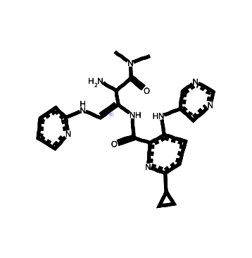 CN(C)C(=O)C(N)/C(=C\Nc1ccccn1)NC(=O)c1nc(C2CC2)ccc1Nc1cncnc1